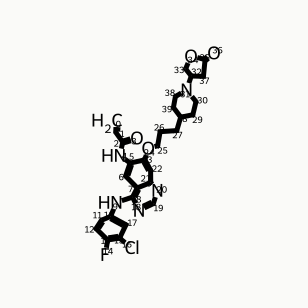 C=CC(=O)Nc1cc2c(Nc3ccc(F)c(Cl)c3)ncnc2cc1OCCCC1CCN(C2COC(=O)C2)CC1